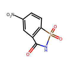 O=C1NS(=O)(=O)c2ccc([N+](=O)[O-])cc21